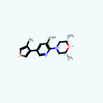 Cc1cscc1-c1cnc(N2C[C@@H](C)O[C@@H](C)C2)c(C=O)c1